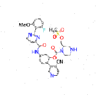 COc1cccc(F)c1-c1nccc(C(=O)Nc2ccc(-c3cnccc3C#N)c(OC(=O)N3CCNC[C@@H]3COS(C)(=O)=O)c2)n1